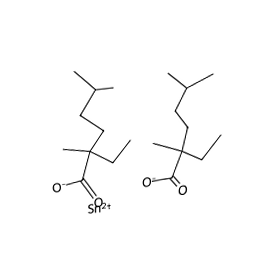 CCC(C)(CCC(C)C)C(=O)[O-].CCC(C)(CCC(C)C)C(=O)[O-].[Sn+2]